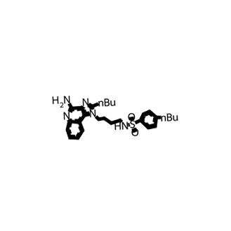 CCCCc1ccc(S(=O)(=O)NCCCCn2c(CCCC)nc3c(N)nc4ccccc4c32)cc1